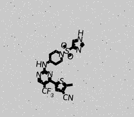 Cc1sc(-c2nc(NC3CCN(S(=O)(=O)c4c[nH]cn4)CC3)ncc2C(F)(F)F)cc1C#N